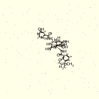 CC1(C)CCOc2c(C(=O)N[C@H]3CN4C(=N)N[C@@H](CNC(=O)c5cc(O)ncn5)[C@@H]5NC(=N)N[C@@]54C3(O)O)cccc21